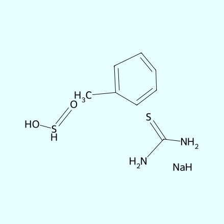 Cc1ccccc1.NC(N)=S.O=[SH]O.[NaH]